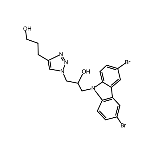 OCCCc1cn(CC(O)Cn2c3ccc(Br)cc3c3cc(Br)ccc32)nn1